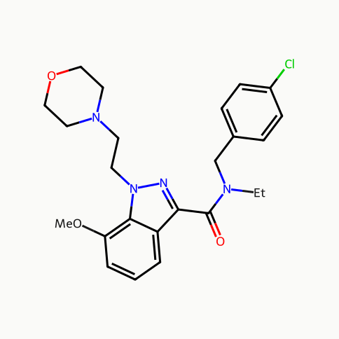 CCN(Cc1ccc(Cl)cc1)C(=O)c1nn(CCN2CCOCC2)c2c(OC)cccc12